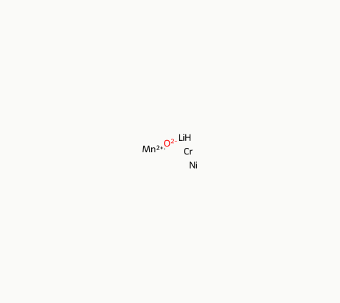 [Cr].[LiH].[Mn+2].[Ni].[O-2]